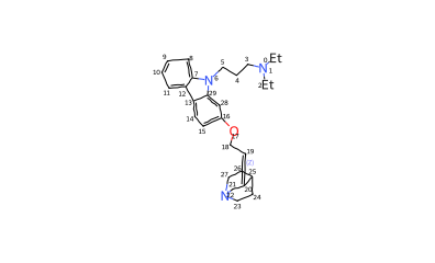 CCN(CC)CCCn1c2ccccc2c2ccc(OC/C=C3\CN4CCC3CC4)cc21